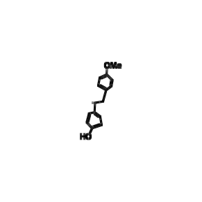 COc1ccc(C[CH]c2ccc(O)cc2)cc1